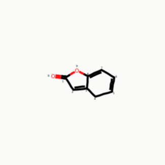 O=C1C=C2CC=CC=C2O1